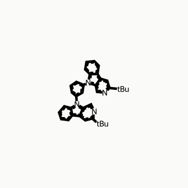 CC(C)(C)c1cc2c3ccccc3n(-c3cccc(-n4c5ccccc5c5cc(C(C)(C)C)ncc54)c3)c2cn1